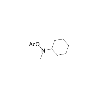 CC(=O)ON(C)C1CCCCC1